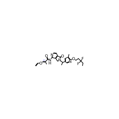 C=CO/C=C(\C)C(=O)Nc1nccc2c1CN(C(C)c1cnc(OCCC(F)(F)CC)c(C)c1)C2=O